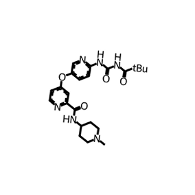 CN1CCC(NC(=O)c2cc(Oc3ccc(NC(=O)NC(=O)C(C)(C)C)nc3)ccn2)CC1